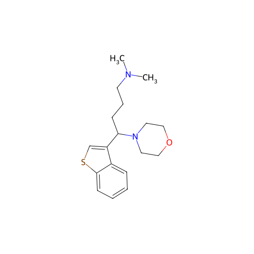 CN(C)CCCC(c1csc2ccccc12)N1CCOCC1